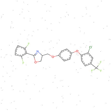 Fc1cccc(F)c1C1=NC(COc2ccc(Oc3ccc(C(F)(F)F)cc3Cl)cc2)CO1